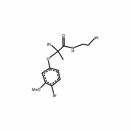 COc1cc(OC(C)(C(=O)NCCC(C)C)C(C)C)ccc1Br